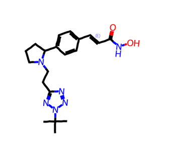 CC(C)(C)n1nnc(CCN2CCCC2c2ccc(/C=C/C(=O)NO)cc2)n1